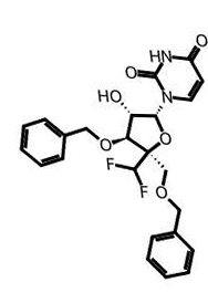 O=c1ccn([C@@H]2O[C@@](COCc3ccccc3)(C(F)F)[C@@H](OCc3ccccc3)[C@@H]2O)c(=O)[nH]1